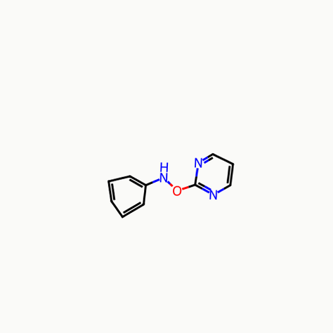 c1ccc(NOc2ncccn2)cc1